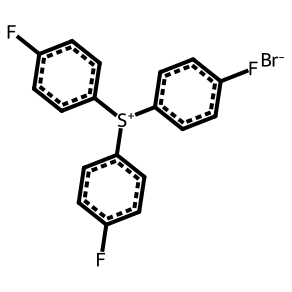 Fc1ccc([S+](c2ccc(F)cc2)c2ccc(F)cc2)cc1.[Br-]